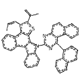 C=C(C)c1sc2c(c1/C=C\C)c1ccccc1c1c3ccccc3n(-c3nc(-c4cccc5ccccc45)c4c(ccc5ccccc54)n3)c21